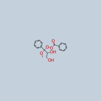 COC(OOC(=O)c1ccccc1)(c1ccccc1)C(O)CO